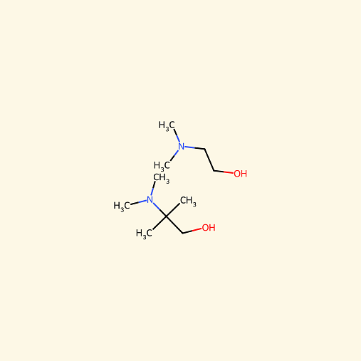 CN(C)C(C)(C)CO.CN(C)CCO